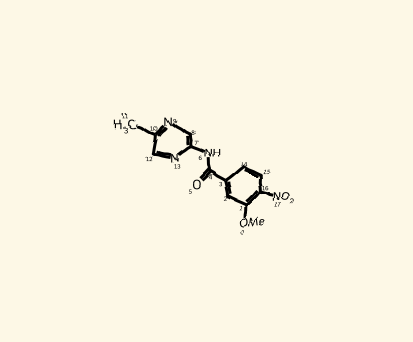 COc1cc(C(=O)Nc2cnc(C)cn2)ccc1[N+](=O)[O-]